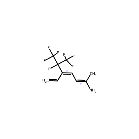 C=C/C(=C\C=C(/C)N)C(F)(C(F)(F)F)C(F)(F)F